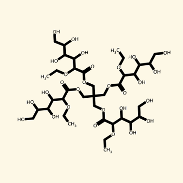 CCOC(C(=O)OCC(COC(=O)C(OCC)C(O)C(O)C(O)CO)(COC(=O)C(OCC)C(O)C(O)C(O)CO)COC(=O)C(OCC)C(O)C(O)C(O)CO)C(O)C(O)C(O)CO